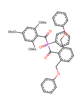 COc1cc(OC)c(C(=O)P(=O)(C(=O)c2c(COc3ccccc3)cccc2COc2ccccc2)c2ccccc2)c(OC)c1